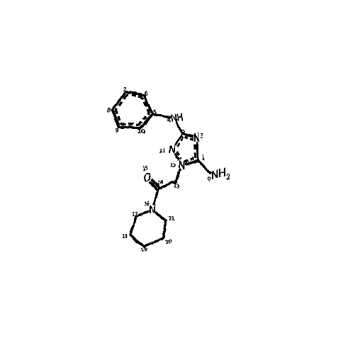 Nc1nc(Nc2ccccc2)nn1CC(=O)N1CCCCC1